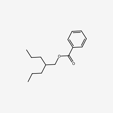 CCCC(CCC)COC(=O)c1ccccc1